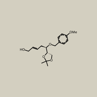 COc1ccc(CO[C@H](C/C=C/CO)[C@@H]2COC(C)(C)O2)cc1